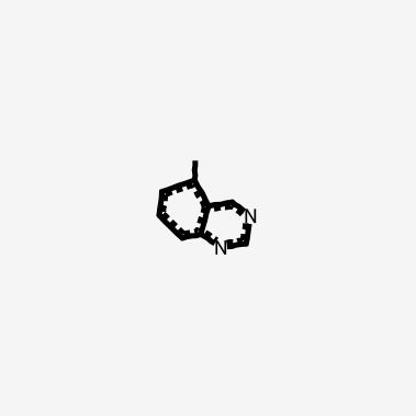 Cc1cccc2ncncc12